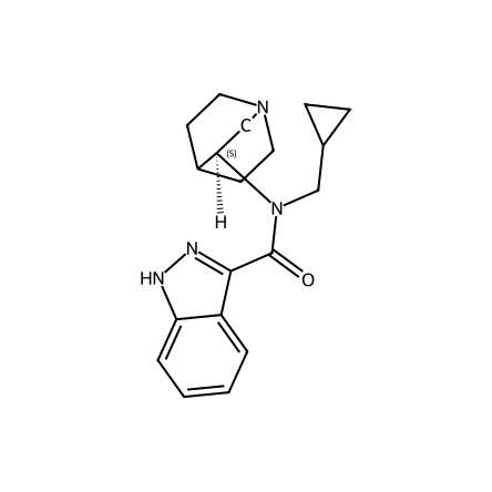 O=C(c1n[nH]c2ccccc12)N(CC1CC1)[C@@H]1CN2CCC1CC2